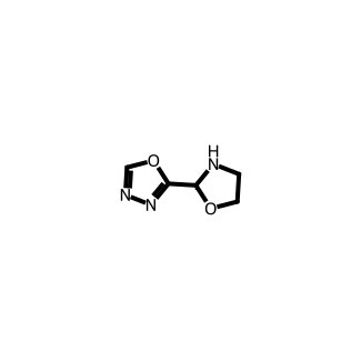 c1nnc([C]2NCCO2)o1